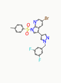 Cc1ccc(S(=O)(=O)n2cc(-c3cnn(Cc4cc(F)cc(F)c4)c3)c3cc(Br)cnc32)cc1